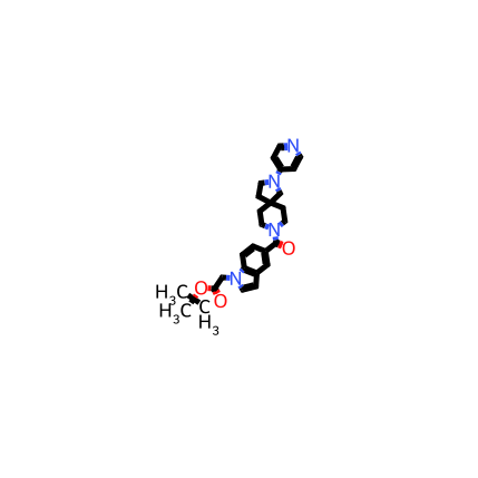 CC(C)(C)OC(=O)Cn1ccc2cc(C(=O)N3CCC4(CC3)CCN(c3ccncc3)C4)ccc21